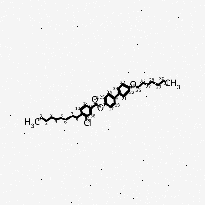 CCCCCCCCCc1ccc(C(=O)Oc2ccc(-c3ccc(OCCCCCCC)cc3)cc2)cc1Cl